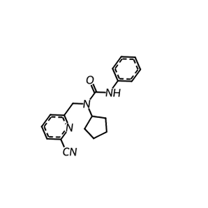 N#Cc1cccc(CN(C(=O)Nc2ccccc2)C2CCCC2)n1